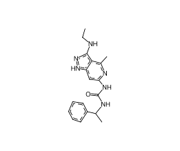 CCNc1n[nH]c2cc(NC(=O)NC(C)c3ccccc3)nc(C)c12